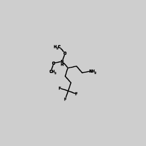 CO[SiH](OC)C(CCN)CCC(F)(F)F